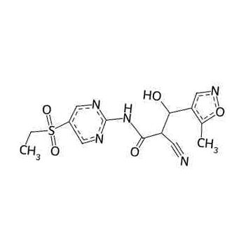 CCS(=O)(=O)c1cnc(NC(=O)C(C#N)C(O)c2cnoc2C)nc1